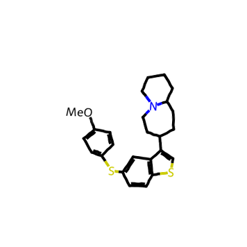 COc1ccc(Sc2ccc3scc(C4CCC5CCCCN5CC4)c3c2)cc1